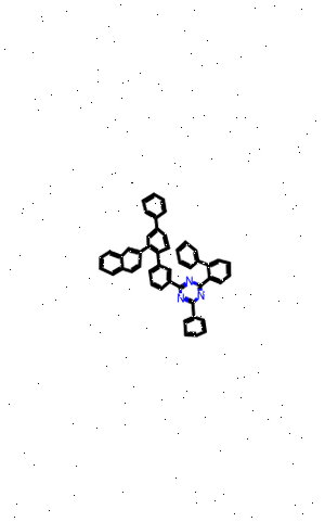 c1ccc(-c2ccc(-c3cccc(-c4nc(-c5ccccc5)nc(-c5ccccc5-c5ccccc5)n4)c3)c(-c3ccc4ccccc4c3)c2)cc1